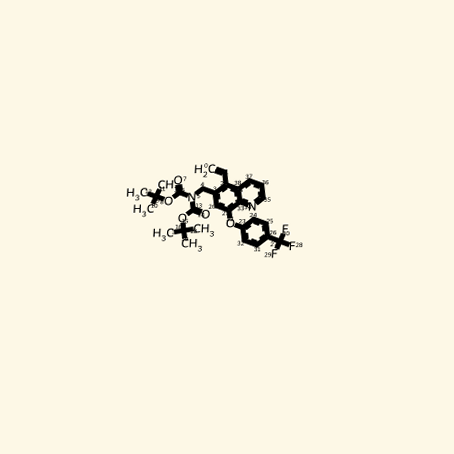 C=Cc1c(CN(C(=O)OC(C)(C)C)C(=O)OC(C)(C)C)cc(Oc2ccc(C(F)(F)F)cc2)c2ncccc12